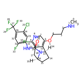 CNCCCOc1cnc(F)c2c1[C@H]1CC[C@@H](C2)N1C(=O)Nc1cc(Cl)c(C(F)(F)F)cc1F